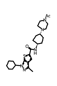 CC(=O)N1CCN([C@H]2CC[C@H](NC(=O)c3cc4c(C)nn(C5CCCCC5)c4s3)CC2)CC1